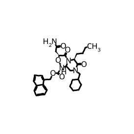 CCCC[C@H]1C(=O)N(CC2CCCCC2)C[C@@H]2N(C(=O)OCc3cccc4ccccc34)O[C@@H](CC(N)=O)C(=O)N21